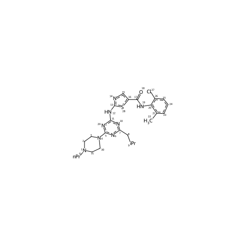 CCCN1CCN(c2nc(CC(C)C)nc(Nc3ncc(C(=O)Nc4c(C)cccc4Cl)s3)n2)CC1